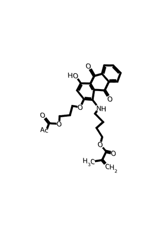 C=C(C)C(=O)OCCCCNc1c(OCCCOC(=O)C(C)=O)cc(O)c2c1C(=O)c1ccccc1C2=O